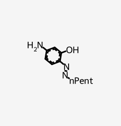 CCCCC/N=N/c1ccc(N)cc1O